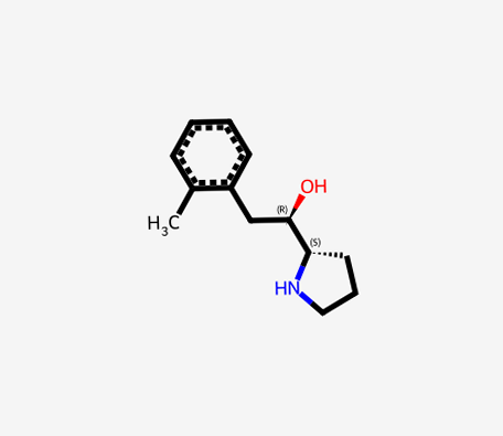 Cc1ccccc1C[C@@H](O)[C@@H]1CCCN1